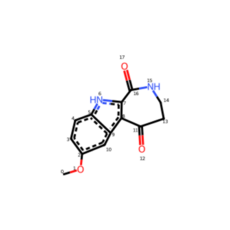 COc1ccc2[nH]c3c(c2c1)C(=O)CCNC3=O